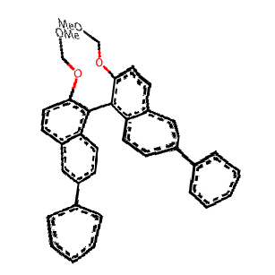 COCOc1ccc2cc(-c3ccccc3)ccc2c1-c1c(OCOC)ccc2cc(-c3ccccc3)ccc12